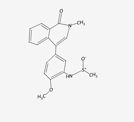 COc1ccc(-c2cn(C)c(=O)c3ccccc23)cc1N[S+](C)[O-]